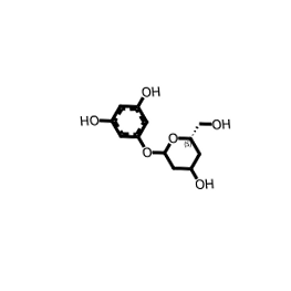 OC[C@@H]1CC(O)CC(Oc2cc(O)cc(O)c2)O1